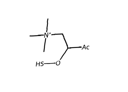 CC(=O)C(C[N+](C)(C)C)OS